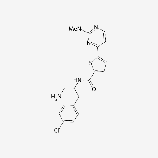 CNc1nccc(-c2ccc(C(=O)NC(CN)Cc3ccc(Cl)cc3)s2)n1